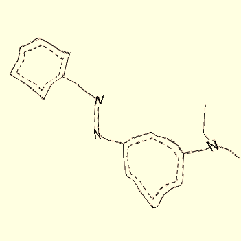 CN(C)c1cccc(N=Nc2ccccc2)c1